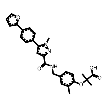 Cc1cc(CNC(=O)c2cc(-c3ccc(-c4ccco4)cc3)n(C)n2)ccc1OC(C)(C)C(=O)O